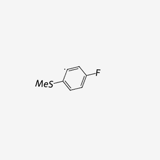 CSc1[c]cc(F)cc1